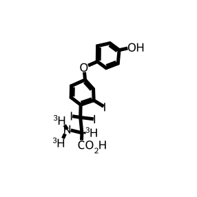 [3H]N([3H])[C@]([3H])(C(=O)O)C(I)(I)c1ccc(Oc2ccc(O)cc2)cc1I